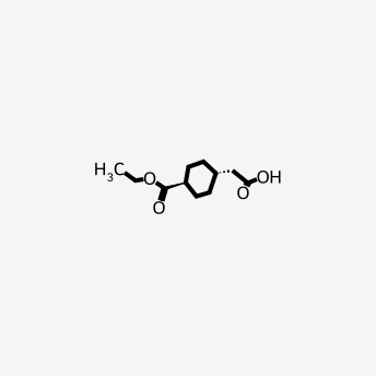 CCOC(=O)[C@H]1CC[C@H](CC(=O)O)CC1